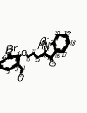 O=Cc1cccc(Br)c1OCCCC1C(=O)c2ccccc2[NH+]1[O-]